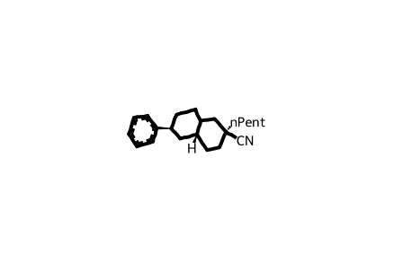 CCCCC[C@]1(C#N)CC[C@@H]2C[C@@H](c3ccccc3)CCC2C1